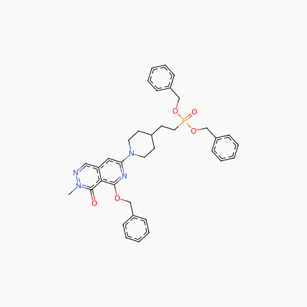 Cn1ncc2cc(N3CCC(CCP(=O)(OCc4ccccc4)OCc4ccccc4)CC3)nc(OCc3ccccc3)c2c1=O